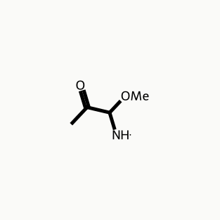 COC([NH])C(C)=O